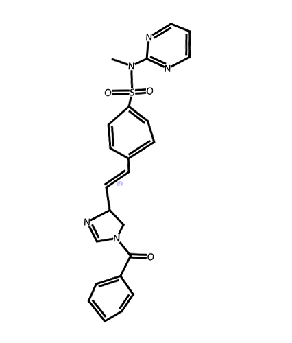 CN(c1ncccn1)S(=O)(=O)c1ccc(/C=C/C2CN(C(=O)c3ccccc3)C=N2)cc1